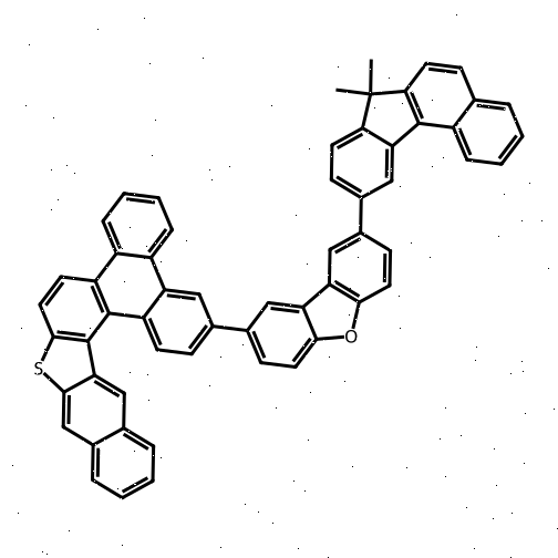 CC1(C)c2ccc(-c3ccc4oc5ccc(-c6ccc7c(c6)c6ccccc6c6ccc8sc9cc%10ccccc%10cc9c8c67)cc5c4c3)cc2-c2c1ccc1ccccc21